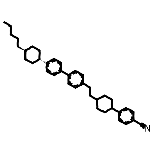 CCCCC[C@H]1CC[C@H](c2ccc(-c3ccc(CCC4CCC(c5ccc(C#N)cc5)CC4)cc3)cc2)CC1